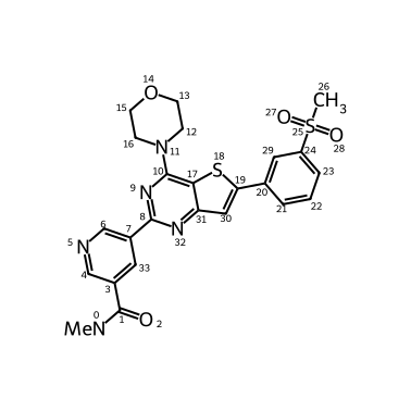 CNC(=O)c1cncc(-c2nc(N3CCOCC3)c3sc(-c4cccc(S(C)(=O)=O)c4)cc3n2)c1